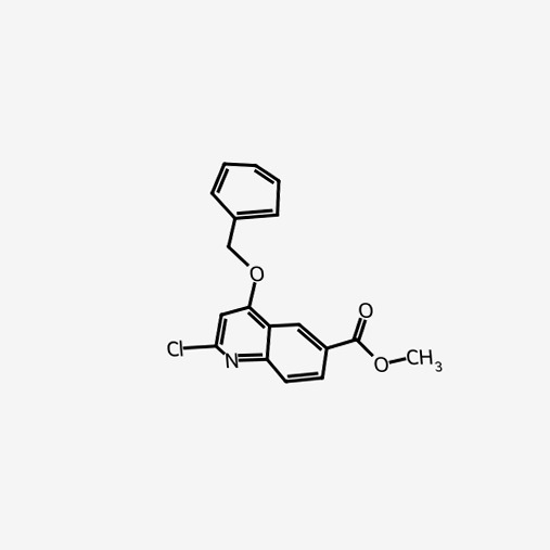 COC(=O)c1ccc2nc(Cl)cc(OCc3ccccc3)c2c1